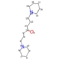 O=C(CCCN1CCCCC1)CCCN1CCCCC1